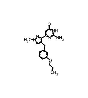 C=CCOc1cccc(Cc2cn(C)nc2-c2cc(=O)[nH]c(N)n2)c1